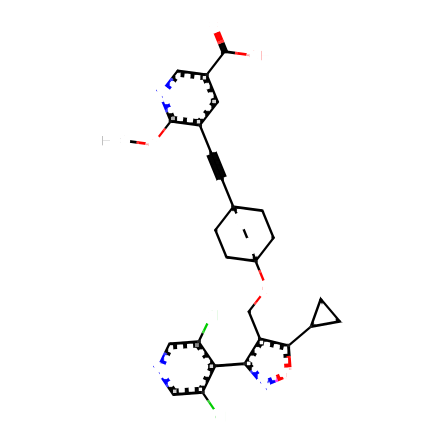 COc1ncc(C(=O)O)cc1C#CC12CCC(OCc3c(-c4c(Cl)cncc4Cl)noc3C3CC3)(CC1)CC2